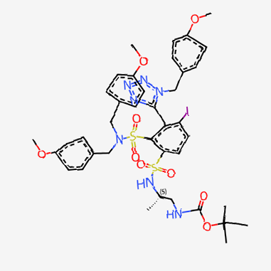 COc1ccc(CN(Cc2ccc(OC)cc2)S(=O)(=O)c2c(S(=O)(=O)N[C@@H](C)CNC(=O)OC(C)(C)C)ccc(I)c2-c2nnnn2Cc2ccc(OC)cc2)cc1